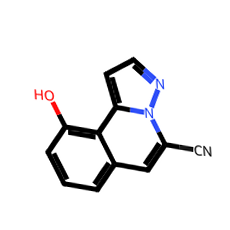 N#Cc1cc2cccc(O)c2c2ccnn12